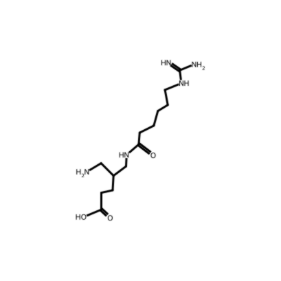 N=C(N)NCCCCCC(=O)NCC(CN)CCC(=O)O